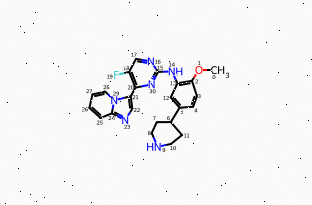 COc1ccc(C2CCNCC2)cc1Nc1ncc(F)c(-c2cnc3ccccn23)n1